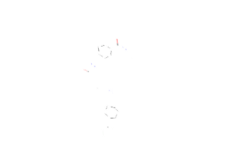 CCC1CCN(C(=O)c2ccc(CN3CC4(CCN(Cc5ccc(C(F)(F)F)cc5)CC4)OC3=O)cc2)CC1